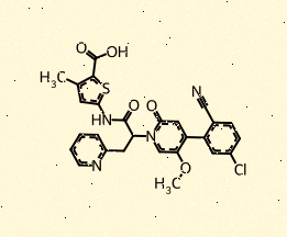 COc1cn(C(Cc2ccccn2)C(=O)Nc2cc(C)c(C(=O)O)s2)c(=O)cc1-c1cc(Cl)ccc1C#N